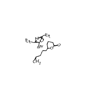 C=CCCCC1CCCC(=O)O1.CCCc1oc(CC)nc1CC